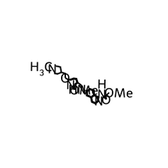 COC(=O)Nc1nccc2cc(NCc3ccc(OCC4CCN(C)CC4)nc3OC)ccc12